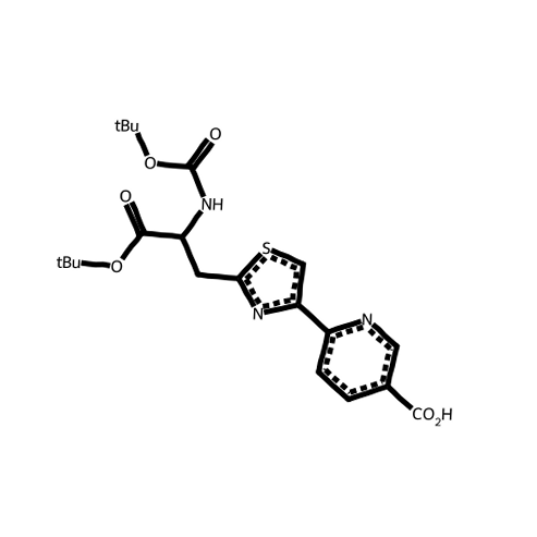 CC(C)(C)OC(=O)NC(Cc1nc(-c2ccc(C(=O)O)cn2)cs1)C(=O)OC(C)(C)C